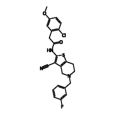 COc1ccc(Cl)c(CC(=O)Nc2sc3c(c2C#N)CN(Cc2cccc(F)c2)CC3)c1